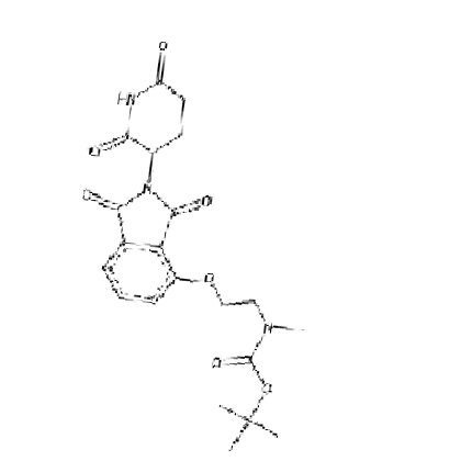 CN(CCOc1cccc2c1C(=O)N(C1CCC(=O)NC1=O)C2=O)C(=O)OC(C)(C)C